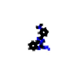 CN(C)c1cccc(-c2nc3c4ccccc4nc(N)n3n2)c1